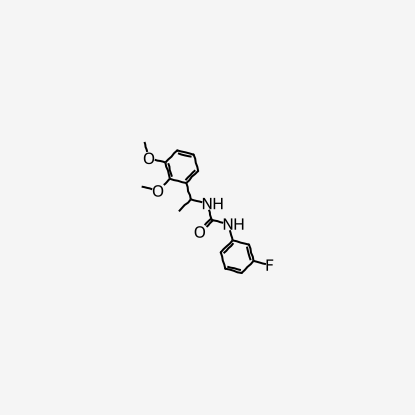 COc1cccc(C(C)NC(=O)Nc2cccc(F)c2)c1OC